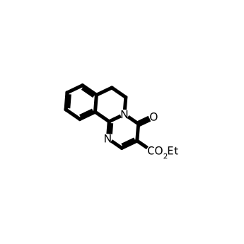 CCOC(=O)c1cnc2n(c1=O)CCc1ccccc1-2